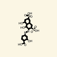 O=C(O)c1ccc(N=Nc2c(S(=O)(=O)O)cc3cc(S(=O)(=O)O)cc(O)c3c2O)cc1O